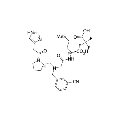 CSCC[C@H](NC(=O)CN(Cc1cccc(C#N)c1)C[C@@H]1CCCN1C(=O)Cc1c[nH]cn1)C(=O)O.O=C(O)C(F)(F)F